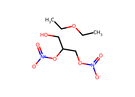 CCOCC.O=[N+]([O-])OCC(CO)O[N+](=O)[O-]